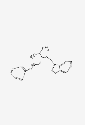 CC(C)[C@@H](CNCc1ccccc1)CC1=CCc2ccccc21